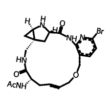 CC(=O)N[C@H]1C/C=C/COCc2ccc(Br)nc2NC(=O)[C@@H]2C[C@@]3(CNC1=O)C[C@H]3N2